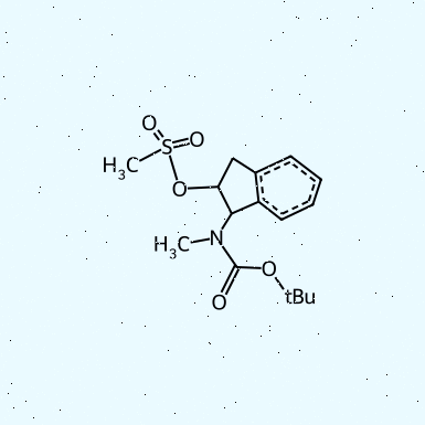 CN(C(=O)OC(C)(C)C)C1c2ccccc2CC1OS(C)(=O)=O